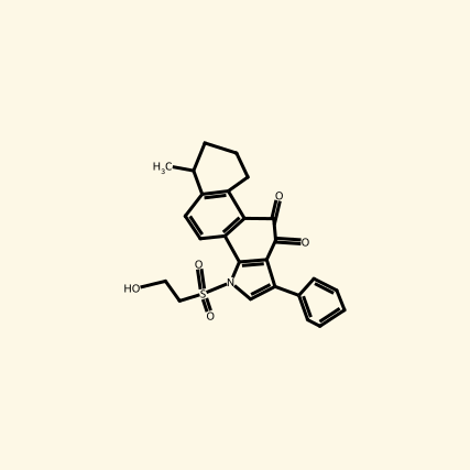 CC1CCCc2c1ccc1c2C(=O)C(=O)c2c(-c3ccccc3)cn(S(=O)(=O)CCO)c2-1